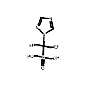 CCC(CC)(n1cncn1)P(=O)(O)O